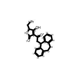 CC(C)CC1OC(=O)C(C(=O)CC2c3ccccc3CCc3ccccc32)=C1O